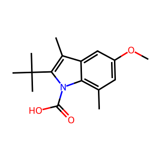 COc1cc(C)c2c(c1)c(C)c(C(C)(C)C)n2C(=O)O